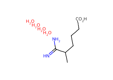 CC(CCCC(=O)O)C(=N)N.O.O.O.O